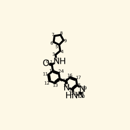 O=C(NCCC1CCCC1)c1cccc(-c2ccc3nn[nH]c3n2)c1